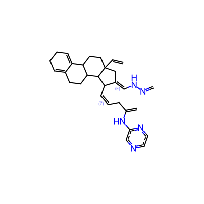 C=CC12CCC3C4=CCCC=C4CCC3C1C(/C=C\CC(=C)Nc1cnccn1)/C(=C/NN=C)C2